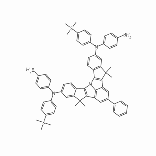 Bc1ccc(N(c2ccc(S(C)(C)C)cc2)c2ccc3c(c2)C(C)(C)c2c-3n3c4c(c5cc(-c6ccccc6)cc2c53)C(C)(C)c2cc(N(c3ccc(B)cc3)c3ccc(S(C)(C)C)cc3)ccc2-4)cc1